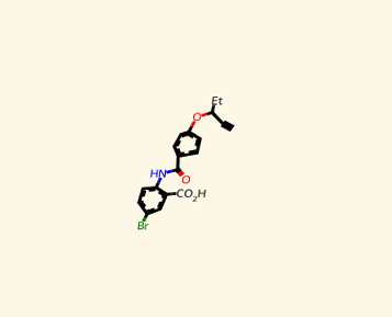 C#CC(CC)Oc1ccc(C(=O)Nc2ccc(Br)cc2C(=O)O)cc1